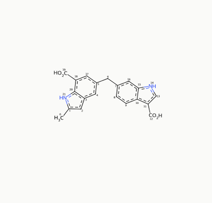 Cc1cc2cc(Cc3ccc4c(C(=O)O)c[nH]c4c3)cc(C(=O)O)c2[nH]1